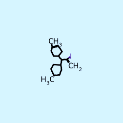 C=C(I)C(C1CC=C(C)CC1)C1CCC(C)CC1